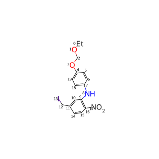 CCOCOc1ccc(Nc2cc(CI)ccc2[N+](=O)[O-])cc1